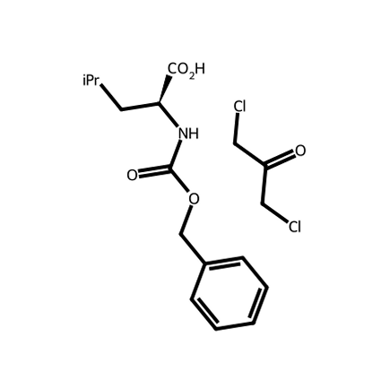 CC(C)C[C@H](NC(=O)OCc1ccccc1)C(=O)O.O=C(CCl)CCl